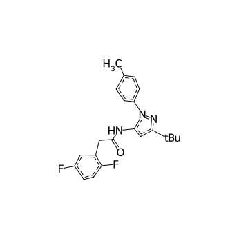 Cc1ccc(-n2nc(C(C)(C)C)cc2NC(=O)Cc2cc(F)ccc2F)cc1